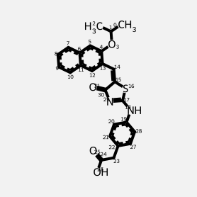 CC(C)Oc1cc2ccccc2cc1C=C1SC(Nc2ccc(CC(=O)O)cc2)=NC1=O